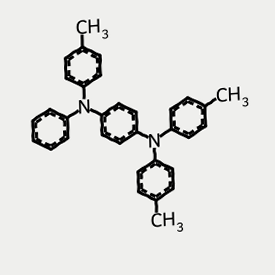 Cc1ccc(N(c2ccccc2)c2ccc(N(c3ccc(C)cc3)c3ccc(C)cc3)cc2)cc1